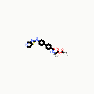 CC(C)[C@H](NC(=O)c1ccc(-c2ccc(Nc3nc4cnccc4s3)cc2)cc1)C(=O)OC(=O)C(F)(F)F